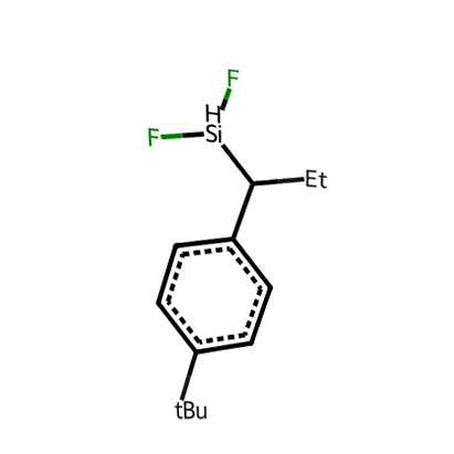 CCC(c1ccc(C(C)(C)C)cc1)[SiH](F)F